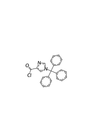 O=C(Cl)c1cn(C(c2ccccc2)(c2ccccc2)c2ccccc2)cn1